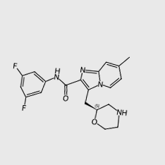 Cc1ccn2c(C[C@H]3CNCCO3)c(C(=O)Nc3cc(F)cc(F)c3)nc2c1